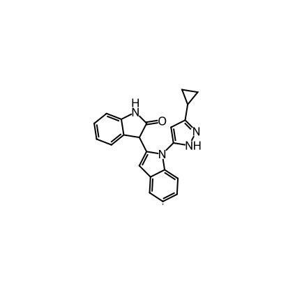 O=C1Nc2ccccc2C1c1cc2c[c]ccc2n1-c1cc(C2CC2)n[nH]1